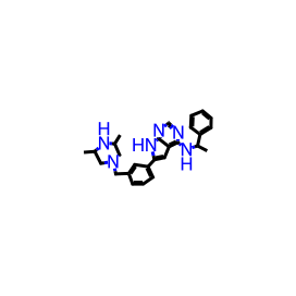 CC1CN(Cc2cccc(-c3cc4c(NC(C)c5ccccc5)ncnc4[nH]3)c2)CC(C)N1